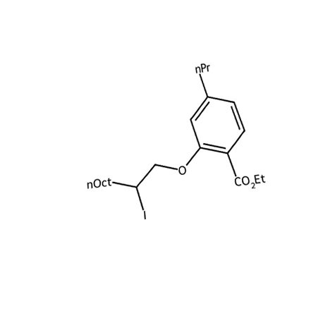 CCCCCCCCC(I)COc1cc(CCC)ccc1C(=O)OCC